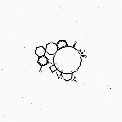 C[C@H]1CO[C@H]2C[C@H]1OCCS(=O)(=O)NC(=O)c1ccc3c(c1)N(C[C@@H]1CC[C@H]12)C[C@@]1(CCCc2cc(Cl)ccc21)CO3